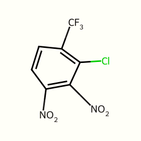 O=[N+]([O-])c1ccc(C(F)(F)F)c(Cl)c1[N+](=O)[O-]